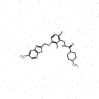 CN1CCC(C(=O)NCc2c(F)ccc(OCc3nc4cc(C(F)(F)F)cnc4s3)c2F)CC1